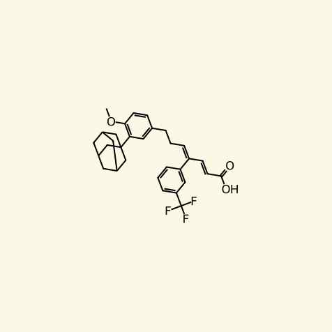 COc1ccc(CCC=C(C=CC(=O)O)c2cccc(C(F)(F)F)c2)cc1C12CC3CC(CC(C3)C1)C2